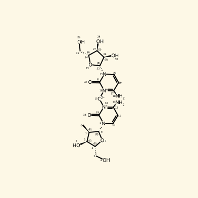 C[C@@H]1[C@H](O)[C@@H](CO)O[C@H]1n1ccc(N)[n+]([C-2][n+]2c(N)ccn([C@@H]3O[C@H](CO)[C@@H](O)[C@H]3O)c2=O)c1=O